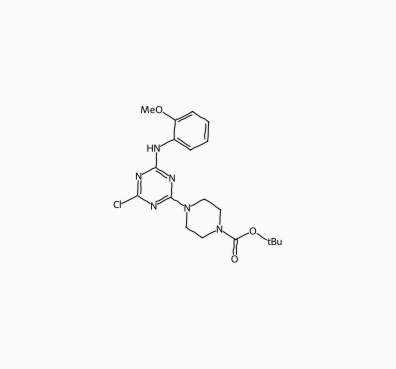 COc1ccccc1Nc1nc(Cl)nc(N2CCN(C(=O)OC(C)(C)C)CC2)n1